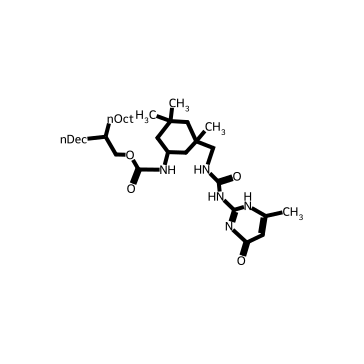 CCCCCCCCCCC(CCCCCCCC)COC(=O)NC1CC(C)(C)CC(C)(CNC(=O)Nc2nc(=O)cc(C)[nH]2)C1